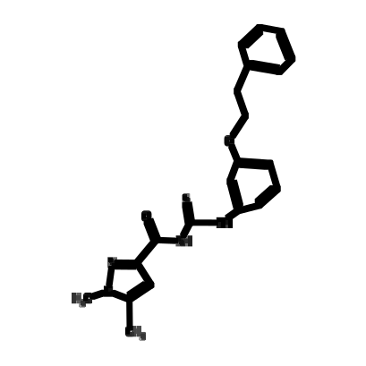 Cc1cc(C(=O)NC(=S)Nc2cccc(OCCc3ccccc3)c2)nn1C